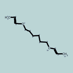 CC=COCCCCCCOC=CC